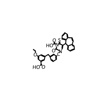 CCOc1cc(Cc2cccc(Cn3cc(C4c5ccccc5C=Cc5ccccc54)c(=S)n(C(=O)O)c3=O)c2)cc(C(=O)O)c1